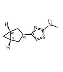 CNc1nc([C@H]2C[C@@H]3C[C@@H]3C2)cs1